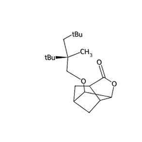 CC(C)(C)C[C@](C)(COC1C2CC3C(=O)OC1C3C2)C(C)(C)C